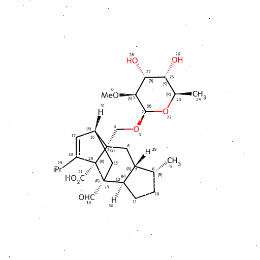 CO[C@@H]1[C@H](OC[C@@]23C[C@@H]4[C@H](C)CC[C@H]4[C@]4(C=O)C[C@@H]2C=C(C(C)C)[C@@]34C(=O)O)O[C@H](C)[C@@H](O)[C@H]1O